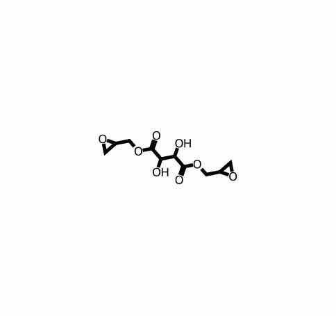 O=C(OCC1CO1)C(O)C(O)C(=O)OCC1CO1